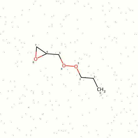 CCCOOCC1CO1